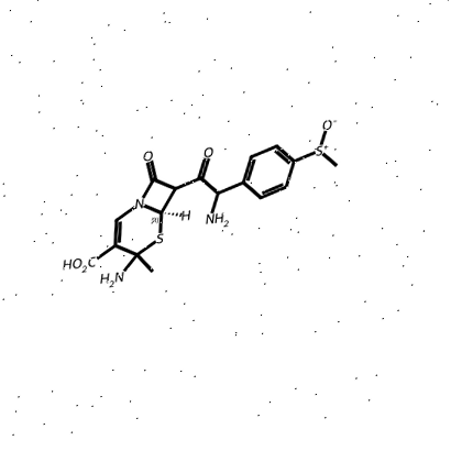 C[S+]([O-])c1ccc(C(N)C(=O)C2C(=O)N3C=C(C(=O)O)C(C)(N)S[C@H]23)cc1